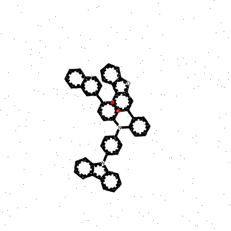 c1ccc(N(c2ccc(-c3ccc4ccccc4c3)cc2)c2ccc(-n3c4ccccc4c4ccccc43)cc2)c(-c2ccc3c(c2)oc2ccccc23)c1